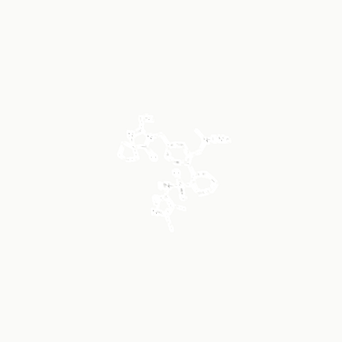 CCCCC1=NC2(CCCC2)C(=O)N1Cc1ccc(-c2ccccc2S(=O)(=O)Nc2onc(C)c2C)c(CN(C)OC)c1